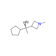 CCC[C@@](C)(C1CCCC1)C1CN(C)C1